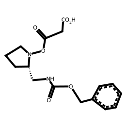 O=C(O)CC(=O)ON1CCC[C@H]1CNC(=O)OCc1ccccc1